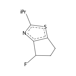 CC(C)c1nc2c(s1)CCC2F